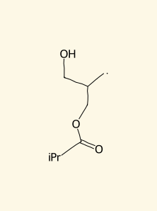 [CH2]C(CO)COC(=O)C(C)C